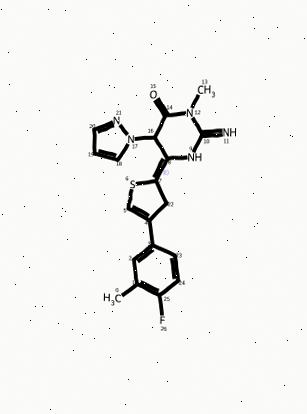 Cc1cc(C2=CS/C(=C3/NC(=N)N(C)C(=O)C3n3cccn3)C2)ccc1F